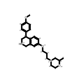 COc1ccc(C2CNCc3cc(OCCCN4CCOC(C)C4)ccc32)cc1